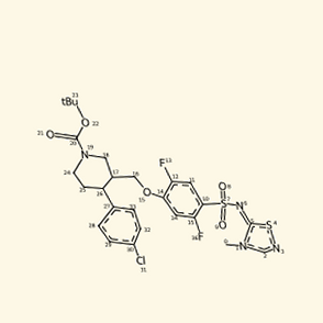 Cn1cns/c1=N/S(=O)(=O)c1cc(F)c(OCC2CN(C(=O)OC(C)(C)C)CCC2c2ccc(Cl)cc2)cc1F